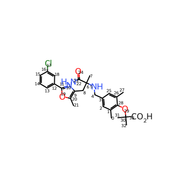 Cc1cc(CNC(C)(Cc2nc(-c3cccc(Cl)c3)oc2C)C(N)=O)cc(C)c1OC(C)(C)C(=O)O